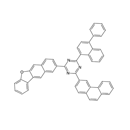 c1ccc(-c2ccc(-c3nc(-c4ccc5cc6oc7ccccc7c6cc5c4)nc(-c4ccc5ccc6ccccc6c5c4)n3)c3ccccc23)cc1